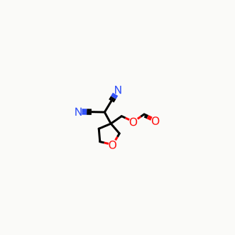 N#CC(C#N)C1(COC=O)CCOC1